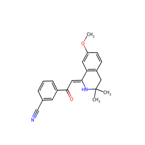 COc1ccc2c(c1)C(=CC(=O)c1cccc(C#N)c1)NC(C)(C)C2